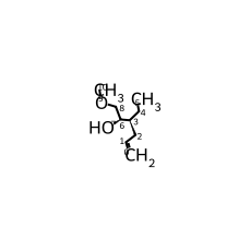 C=CC[C@H](CC)[C@@H](O)COC